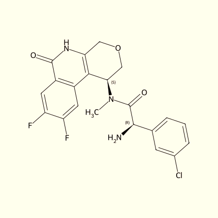 CN(C(=O)[C@H](N)c1cccc(Cl)c1)[C@@H]1COCc2[nH]c(=O)c3cc(F)c(F)cc3c21